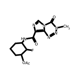 CC(=O)OC1CCCC(NC(=O)c2ncn3c(=O)n(C)nnc23)C1F